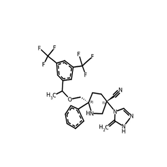 C=C1NN=CN1[C@@]1(C#N)CC[C@](COC(C)c2cc(C(F)(F)F)cc(C(F)(F)F)c2)(c2ccccc2)NC1